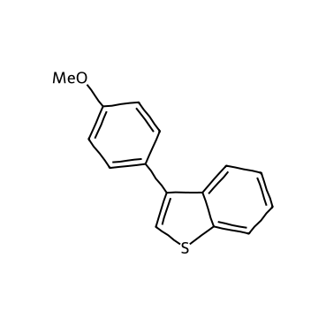 COc1ccc(-c2csc3ccccc23)cc1